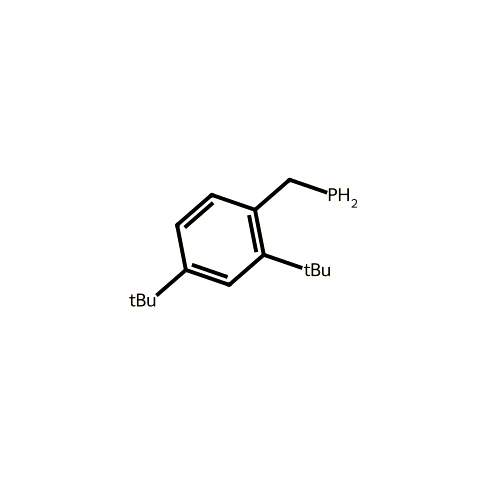 CC(C)(C)c1ccc(CP)c(C(C)(C)C)c1